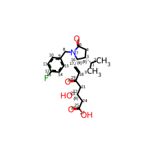 CC(C)[C@H]1CC(=O)N(Cc2ccc(F)cc2)[C@H]1C=CC(=O)C[C@@H](O)CC(=O)O